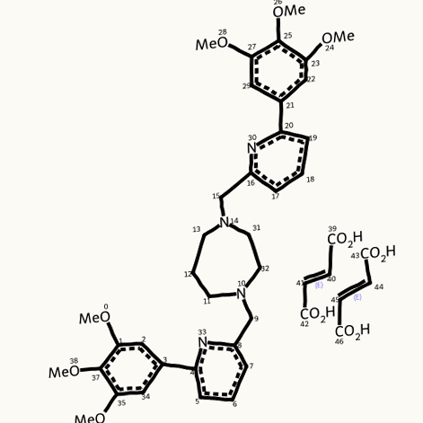 COc1cc(-c2cccc(CN3CCCN(Cc4cccc(-c5cc(OC)c(OC)c(OC)c5)n4)CC3)n2)cc(OC)c1OC.O=C(O)/C=C/C(=O)O.O=C(O)/C=C/C(=O)O